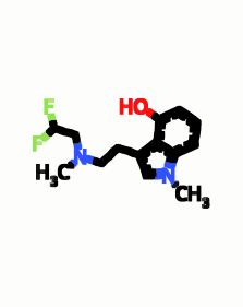 CN(CCc1cn(C)c2cccc(O)c12)CC(F)F